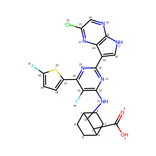 O=C(O)C1C2CCC(CC2)C1Nc1nc(-c2c[nH]c3ncc(Cl)nc23)nc(-c2ccc(F)s2)c1F